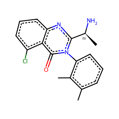 Cc1cccc(-n2c([C@H](C)N)nc3cccc(Cl)c3c2=O)c1C